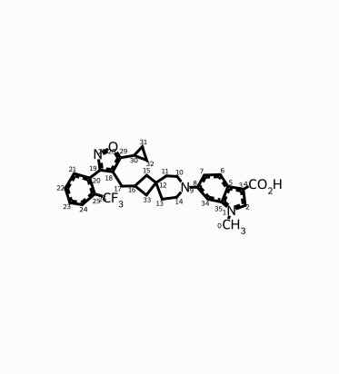 Cn1cc(C(=O)O)c2ccc(N3CCC4(CC3)CC(Cc3c(-c5ccccc5C(F)(F)F)noc3C3CC3)C4)cc21